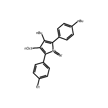 CCCCCCCCC1=C(c2ccc(CC)cc2)[N+](=[N-])C(c2ccc(CCCC)cc2)=C1CCCC